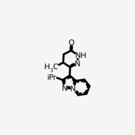 CC1CC(=O)NN=C1c1c(C(C)C)nn2ccccc12